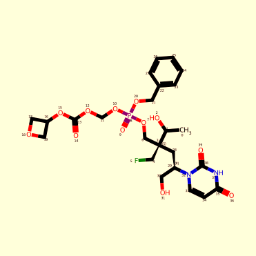 CC(O)[C@@](CF)(COP(=O)(OCOC(=O)OC1COC1)OCc1ccccc1)C[C@H](CO)n1ccc(=O)[nH]c1=O